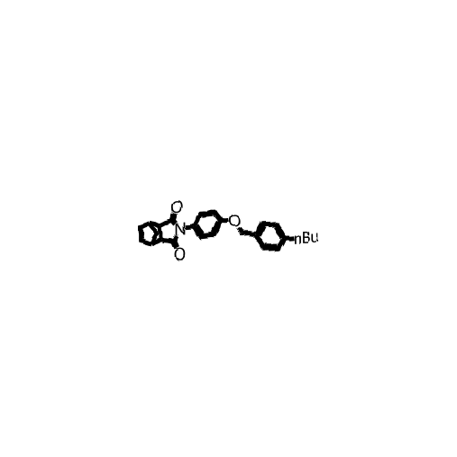 CCCCc1ccc(COc2ccc(N3C(=O)C4C5C=CC(C5)C4C3=O)cc2)cc1